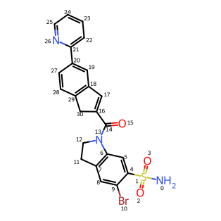 NS(=O)(=O)c1cc2c(cc1Br)CCN2C(=O)C1=Cc2cc(-c3ccccn3)ccc2C1